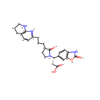 O=C(O)C[C@@H](c1ccc2[nH]c(=O)oc2c1)N1CCC(CCCc2ccc3c(n2)NCCC3)C1=O